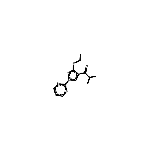 CCOc1nn(-c2ncccn2)cc1C(=O)C(C)C